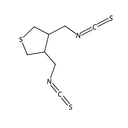 S=C=NCC1CSCC1CN=C=S